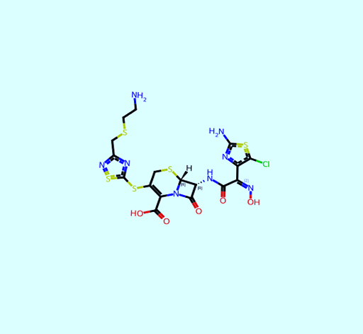 NCCSCc1nsc(SC2=C(C(=O)O)N3C(=O)[C@@H](NC(=O)/C(=N\O)c4nc(N)sc4Cl)[C@H]3SC2)n1